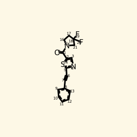 O=C(c1cnc(C#Cc2ccccc2)s1)N1CCC(F)(F)C1